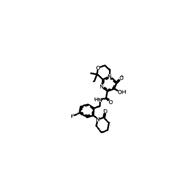 CC1(C)OCCn2c1nc(C(=O)NCc1ccc(F)cc1N1CCCCC1=O)c(O)c2=O